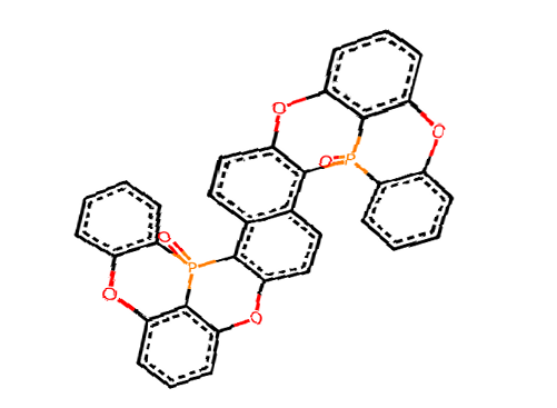 O=P12c3ccccc3Oc3cccc(c31)Oc1ccc3c4c(ccc3c12)Oc1cccc2c1P4(=O)c1ccccc1O2